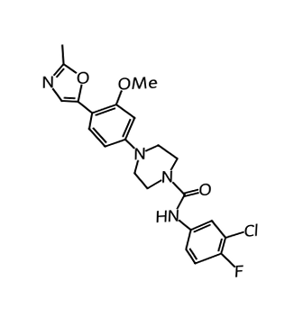 COc1cc(N2CCN(C(=O)Nc3ccc(F)c(Cl)c3)CC2)ccc1-c1cnc(C)o1